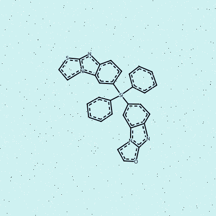 c1ccc([Si](c2ccccc2)(c2ccc3nc4occn4c3c2)c2ccc3nc4sccn4c3c2)cc1